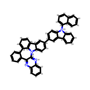 c1ccc2c(c1)-c1nc3ccccc3nc1-n1c3ccc(-c4ccc5c(c4)c4ccccc4n5-c4cccc5ccccc45)cc3c3cccc-2c31